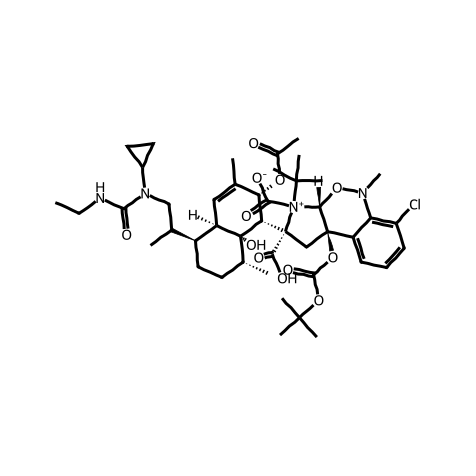 CCNC(=O)N(CC(C)[C@@H]1CC[C@@H](C)[C@@]2(O)[C@@H]1C=C(C)[C@H](OC(C)=O)[C@@H]2[C@]1(C(=O)O)C[C@@]2(OC(=O)OC(C)(C)C)c3cccc(Cl)c3N(C)O[C@H]2[N+]1(C(=O)[O-])C(C)(C)C)C1CC1